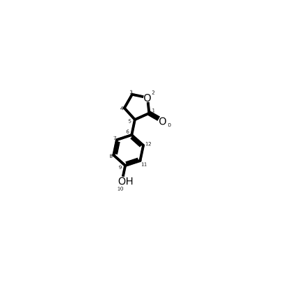 O=C1OCCC1c1ccc(O)cc1